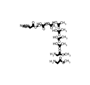 CC(=O)O.CC(=O)O.CC(=O)O.CC(=O)O.CC(=O)O.CC(=O)O.COC(=O)CN.COC(=O)CN.COC(=O)CN.[NaH].[NaH].[NaH]